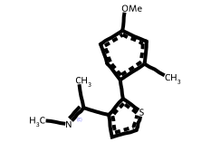 C/N=C(\C)c1ccsc1-c1ccc(OC)cc1C